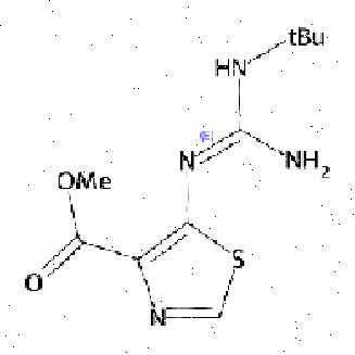 COC(=O)c1ncsc1/N=C(\N)NC(C)(C)C